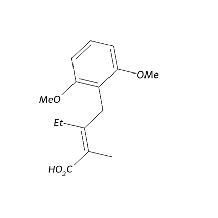 CC/C(Cc1c(OC)cccc1OC)=C(/C)C(=O)O